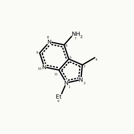 CCn1nc(C)c2c(N)ncnc21